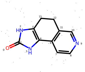 O=c1[nH]c2c([nH]1)-c1ccncc1CC2